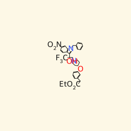 CCOC(=O)Cc1cccc(OC2CCN(CC(O)(c3cn(Cc4ccccc4)c4cc([N+](=O)[O-])ccc34)C(F)(F)F)CC2)c1